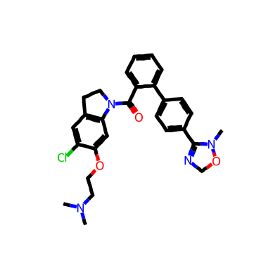 CN(C)CCOc1cc2c(cc1Cl)CCN2C(=O)c1ccccc1-c1ccc(C2=NCON2C)cc1